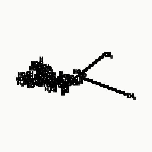 CCCCCCCCCCCCC/C=C/[C@@H](O)[C@H](CO[C@@H]1OC(CO)[C@@H](O[C@@H]2OC(CO)[C@H](O)[C@H](O[C@@H]3OC(CO)[C@@H](O[C@@H]4OC(CO)[C@H](O)[C@H](O[C@@H]5OC(CO)[C@@H](O[C@@H]6OC(CO)[C@H](O)[C@H](O)C6O[C@H]6OC(C)[C@@H](O)C(O)[C@@H]6O)[C@H](O[C@H]6OC(C)[C@@H](O)C(O)[C@@H]6O)C5NC(C)=O)C4O)[C@H](O)C3NC(C)=O)C2O)[C@H](O)C1O)NC(=O)CCCCCCCCCCCCCCCCCCCCCCC